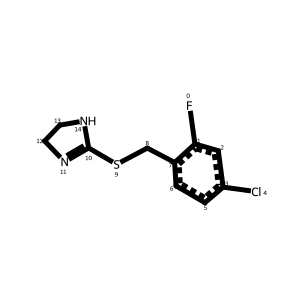 Fc1cc(Cl)ccc1CSC1=NCCN1